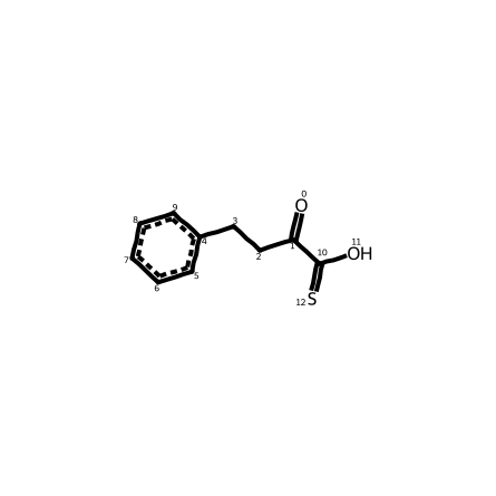 O=C(CCc1ccccc1)C(O)=S